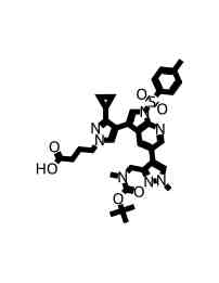 Cc1ccc(S(=O)(=O)n2cc(-c3cn(CCCC(=O)O)nc3C3CC3)c3cc(-c4cn(C)nc4CN(C)C(=O)OC(C)(C)C)cnc32)cc1